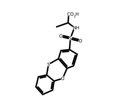 CC(NS(=O)(=O)c1ccc2c(c1)Sc1ccccc1O2)C(=O)O